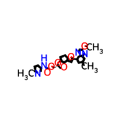 COc1cnc2c(-c3cc4c5c(ccc4o3)O[C@@H](COC(=O)Nc3ccc(C)nc3)CO5)cc(C)cc2n1